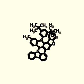 Cc1ccc2c(c1)N(c1cc(C(C)(C)C)cc(C(C)(C)C)c1)c1c3c(cc4oc5ccccc5c14)-c1cccc4c5ccccc5n(c14)B23